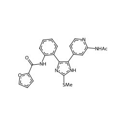 CSc1nc(-c2ccccc2NC(=O)c2ccco2)c(-c2ccnc(NC(C)=O)c2)[nH]1